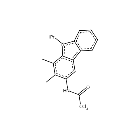 Cc1c(NC(=O)C(Cl)(Cl)Cl)cc2c3ccccc3n(C(C)C)c2c1C